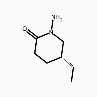 CC[C@@H]1CCC(=O)N(N)C1